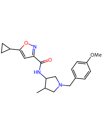 COc1ccc(CN2CC(C)C(NC(=O)c3cc(C4CC4)on3)C2)cc1